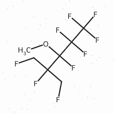 COC(F)(C(F)(CF)CF)C(F)(F)C(F)(F)F